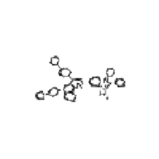 Nc1cc(-c2cc(-c3ccc(-c4ccccc4)cc3)c3cc(-c4ccc(-c5ccccc5)cc4)c4ccccc4c3n2)ccc1N(c1ccccc1)C(I)c1ccccc1